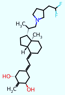 C=C1[C@H](O)CC(=CC=C2CCC[C@]3(C)[C@@H](C(C)CN4CCC(CC(F)F)C4)CC[C@@H]23)C[C@H]1O